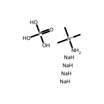 C[N+](C)(C)N.O=P(O)(O)O.[NaH].[NaH].[NaH].[NaH]